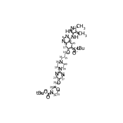 Cc1n[nH]c(Nc2ncnc3cc(OCCCN4CCN(c5ncc(OC[C@H]6CN(C(=O)OC(C)(C)C)CCO6)cn5)CC4)c([S+]([O-])C(C)(C)C)cc23)c1C